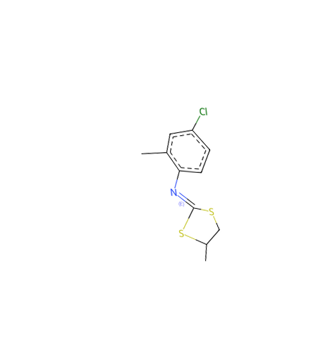 Cc1cc(Cl)ccc1/N=C1\SCC(C)S1